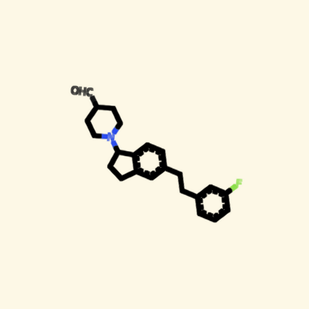 O=CC1CCN(C2CCc3cc(CCc4cccc(F)c4)ccc32)CC1